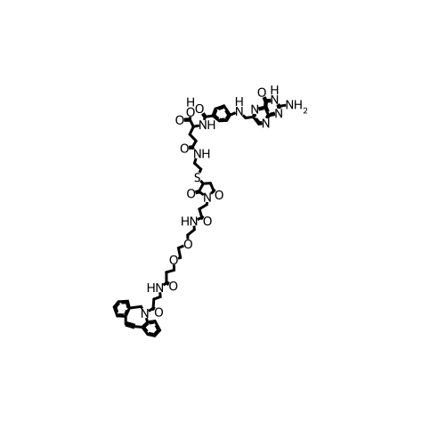 Nc1nc2ncc(CNc3ccc(C(=O)NC(CCC(=O)NCCSC4CC(=O)N(CCC(=O)NCCOCCOCCC(=O)NCCC(=O)N5Cc6ccccc6C#Cc6ccccc65)C4=O)C(=O)O)cc3)nc2c(=O)[nH]1